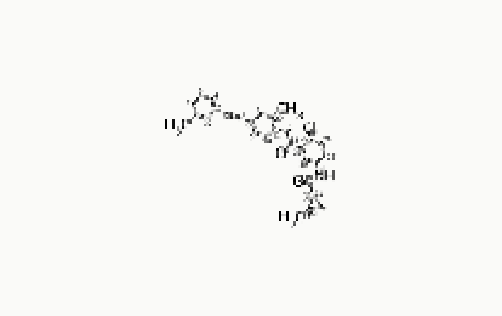 Cc1cccc(C#Cc2ccc(CC(=O)c3cc(NC(=O)[C@H]4C[C@@H]4C)ccc3Cl)c(C)c2)c1